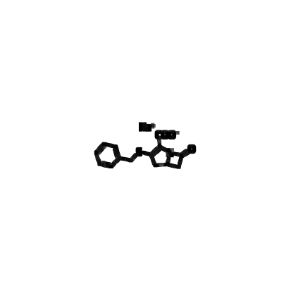 O=C([O-])C1=C(SCc2ccccc2)CC2CC(=O)N12.[Na+]